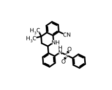 CC1(C)CC(c2ccccc2NS(=O)(=O)c2ccccc2)Nc2c(C#N)cccc21